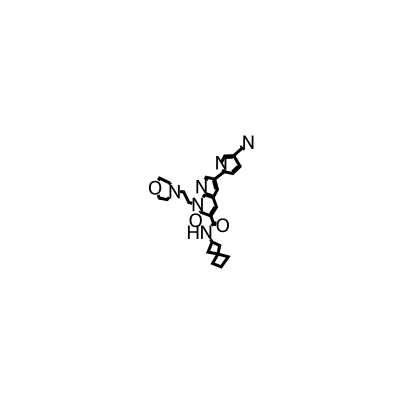 N#Cc1ccc(-c2cnc3c(c2)cc(C(=O)NC2CC4(CCC4)C2)c(=O)n3CCN2CCOCC2)nc1